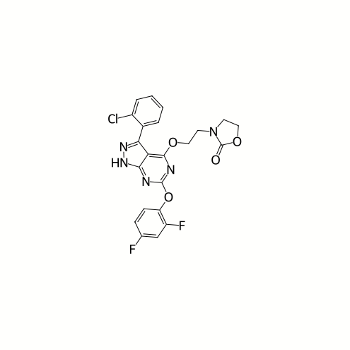 O=C1OCCN1CCOc1nc(Oc2ccc(F)cc2F)nc2[nH]nc(-c3ccccc3Cl)c12